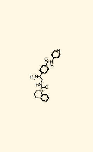 NC(CNC(=O)[C@H]1CCCc2ccccc21)c1ccc(C(=O)Nc2ccncc2)cc1